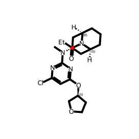 CCC(=O)N1[C@@H]2CCC[C@H]1C[C@H](N(C)c1nc(Cl)cc(O[C@H]3CCOC3)n1)C2